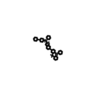 CC1(C)c2ccccc2N(c2ccccc2)c2ccc(-c3ccc4cc(N(c5ccccc5)c5ccc(-c6ccccc6)cc5)sc4c3)cc21